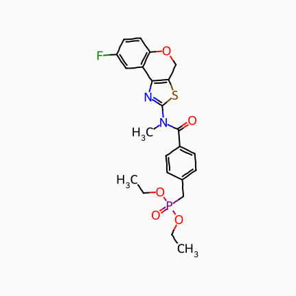 CCOP(=O)(Cc1ccc(C(=O)N(C)c2nc3c(s2)COc2ccc(F)cc2-3)cc1)OCC